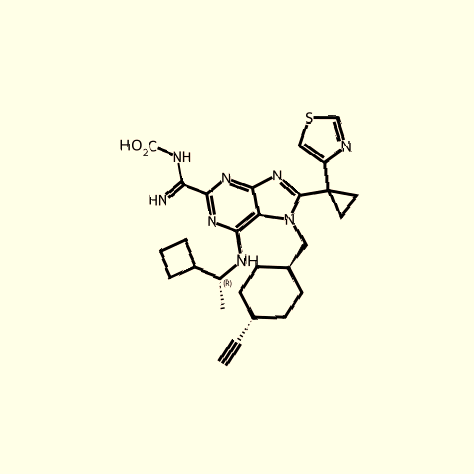 C#C[C@H]1CC[C@H](Cn2c(C3(c4cscn4)CC3)nc3nc(C(=N)NC(=O)O)nc(N[C@H](C)C4CCC4)c32)CC1